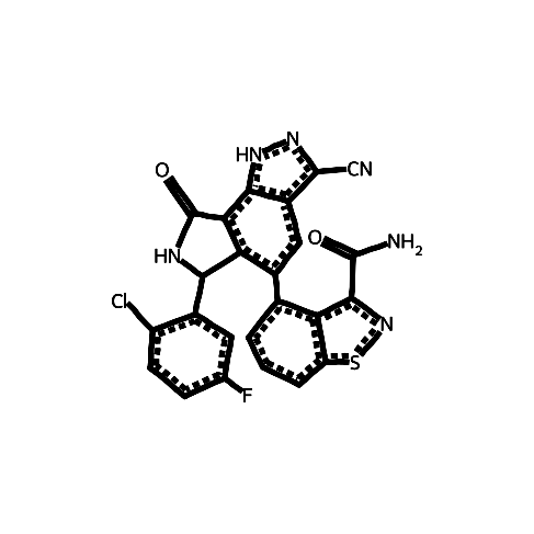 N#Cc1n[nH]c2c3c(c(-c4cccc5snc(C(N)=O)c45)cc12)C(c1cc(F)ccc1Cl)NC3=O